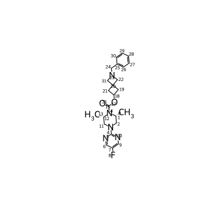 C[C@@H]1CN(c2ncc(F)cn2)C[C@H](C)N1C(=O)OC1CC2(C1)CN(Cc1ccccc1)C2